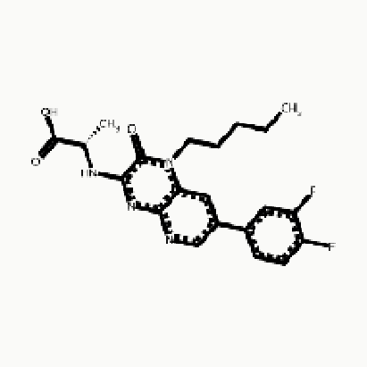 CCCCCn1c(=O)c(N[C@@H](C)C(=O)O)nc2ncc(-c3ccc(F)c(F)c3)cc21